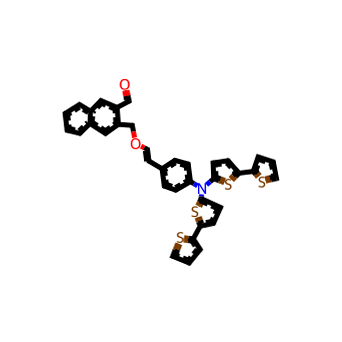 O=Cc1cc2ccccc2cc1COC=Cc1ccc(N(c2ccc(-c3cccs3)s2)c2ccc(-c3cccs3)s2)cc1